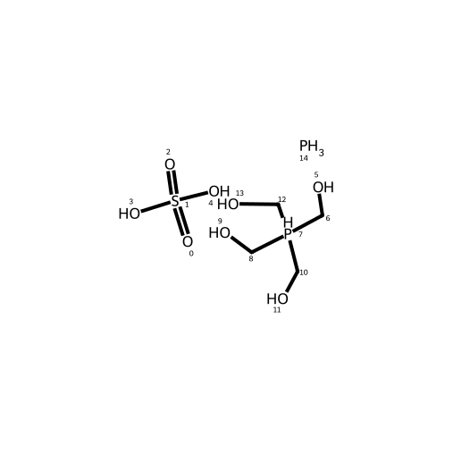 O=S(=O)(O)O.OC[PH](CO)(CO)CO.P